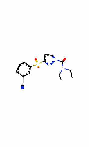 CCN(CC)C(=O)n1ccc(S(=O)(=O)c2cccc(C#N)c2)n1